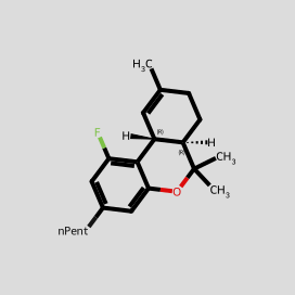 CCCCCc1cc(F)c2c(c1)OC(C)(C)[C@@H]1CCC(C)=C[C@@H]21